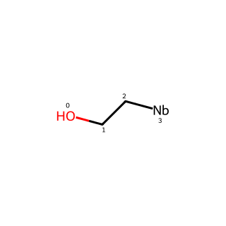 OC[CH2][Nb]